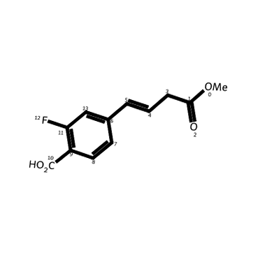 COC(=O)CC=Cc1ccc(C(=O)O)c(F)c1